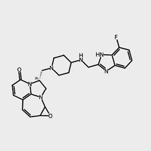 O=c1ccc2c3n1[C@H](CN1CCC(NCc4nc5cccc(F)c5[nH]4)CC1)CN3C1OC1C=C2